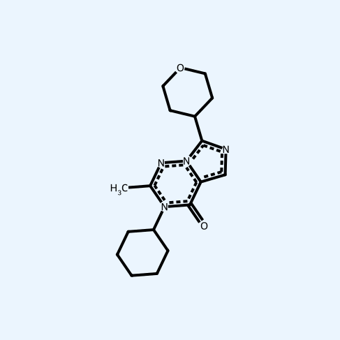 Cc1nn2c(C3CCOCC3)ncc2c(=O)n1C1CCCCC1